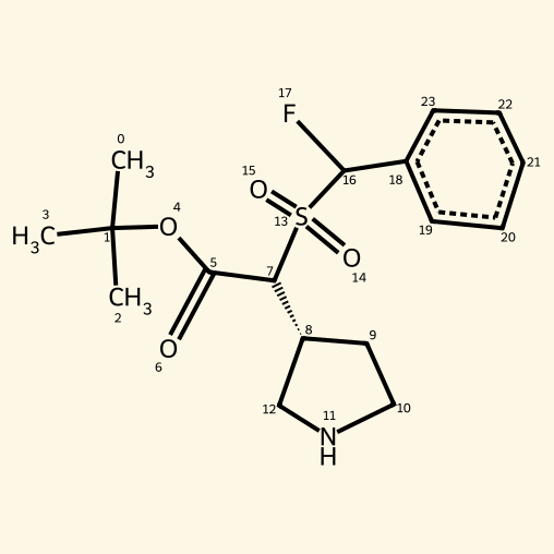 CC(C)(C)OC(=O)C([C@@H]1CCNC1)S(=O)(=O)C(F)c1ccccc1